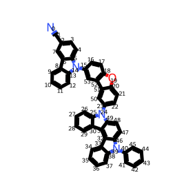 N#Cc1ccc2c(c1)c1ccccc1n2-c1ccc2oc3ccc(-n4c5ccccc5c5c6c7ccccc7n(-c7ccccc7)c6ccc54)cc3c2c1